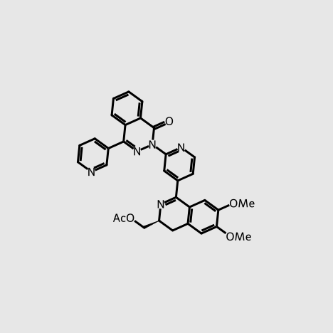 COc1cc2c(cc1OC)C(c1ccnc(-n3nc(-c4cccnc4)c4ccccc4c3=O)c1)=N[C@H](COC(C)=O)C2